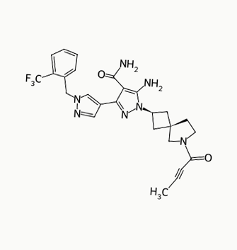 CC#CC(=O)N1CC[C@]2(C1)C[C@H](n1nc(-c3cnn(Cc4ccccc4C(F)(F)F)c3)c(C(N)=O)c1N)C2